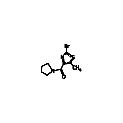 Cc1sc(Br)nc1C(=O)N1CCCC1